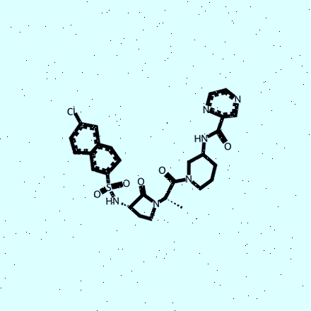 C[C@@H](C(=O)N1CCCC(NC(=O)c2cnccn2)C1)N1CC[C@H](NS(=O)(=O)c2ccc3cc(Cl)ccc3c2)C1=O